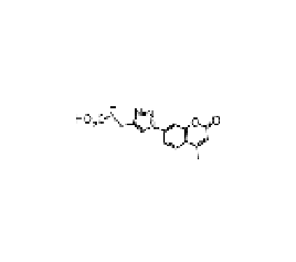 Cc1cc(=O)oc2cc(-n3cc(CNC(=O)O)nn3)ccc12